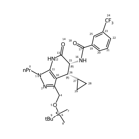 CCCn1nc(CO[Si](C)(C)C(C)(C)C)c2c1NC(=O)[C@H](NC(=O)c1cccc(C(F)(F)F)c1)[C@@H]2C1CC1